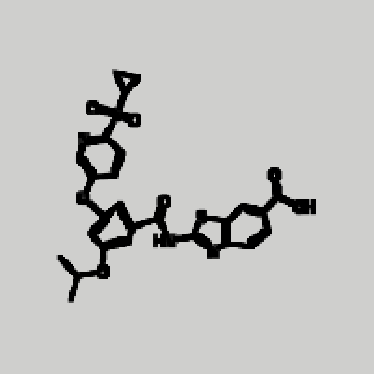 CC(C)Oc1cc(Oc2ccc(S(=O)(=O)C3CC3)nc2)cc(C(=O)Nc2nc3ccc(C(=O)O)cc3s2)c1